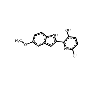 COc1ccc2[nH]c(-c3nc(Cl)ccc3O)cc2n1